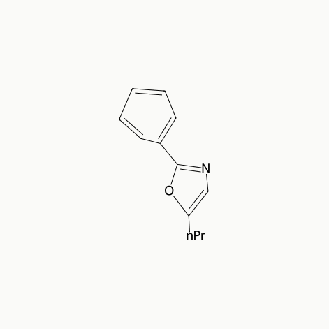 [CH2]CCc1cnc(-c2ccccc2)o1